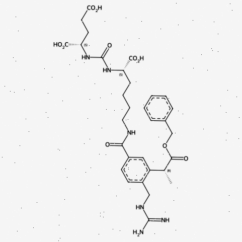 C[C@@H](C(=O)OCc1ccccc1)c1cc(C(=O)NCCCC[C@H](NC(=O)N[C@@H](CCC(=O)O)C(=O)O)C(=O)O)ccc1CNC(=N)N